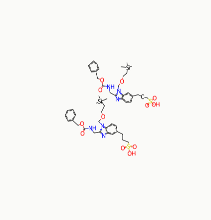 C[Si](C)(C)CCOCn1c(CNC(=O)OCc2ccccc2)nc2cc(CCCS(=O)(=O)O)ccc21.C[Si](C)(C)CCOCn1c(CNC(=O)OCc2ccccc2)nc2ccc(CCCS(=O)(=O)O)cc21